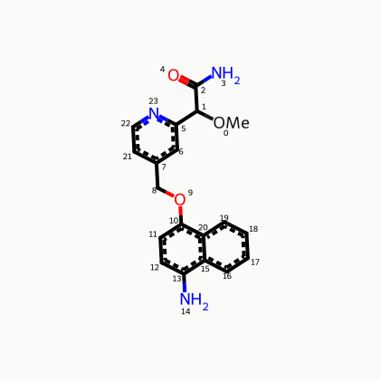 COC(C(N)=O)c1cc(COc2ccc(N)c3ccccc23)ccn1